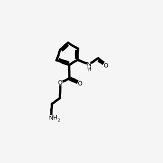 NCCOC(=O)c1ccccc1NC=O